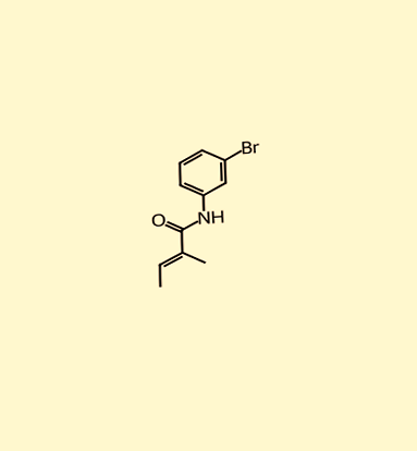 C/C=C(\C)C(=O)Nc1cccc(Br)c1